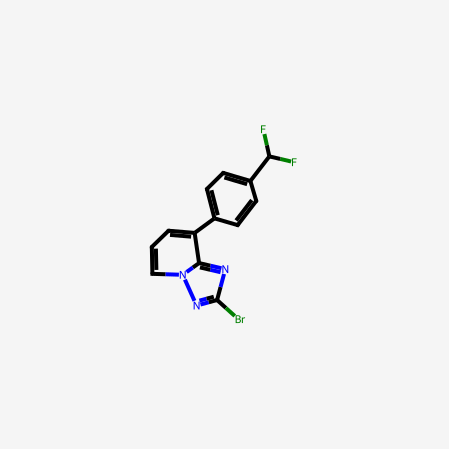 FC(F)c1ccc(-c2cccn3nc(Br)nc23)cc1